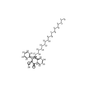 CCCCCCCCCCCCCCCCCCn1c(-c2ccccc2)c(OC)c(=O)c2ccccc21